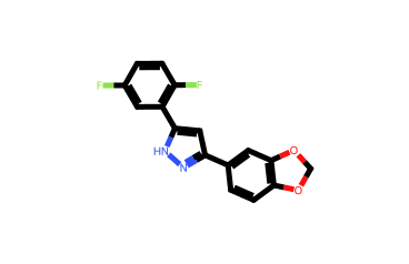 Fc1ccc(F)c(-c2cc(-c3ccc4c(c3)OCO4)n[nH]2)c1